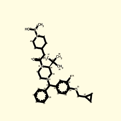 CB(O)N1CCC(CC(=O)N2CCN(C(c3ccccc3)c3ccc(OCC4CC4)c(F)c3)C[C@@H]2C(C)(C)C)CC1